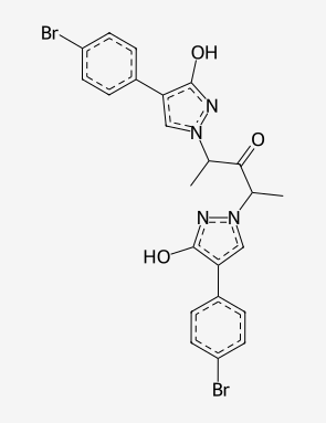 CC(C(=O)C(C)n1cc(-c2ccc(Br)cc2)c(O)n1)n1cc(-c2ccc(Br)cc2)c(O)n1